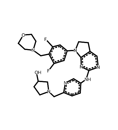 OC1CCN(Cc2ccc(Nc3ncc4c(n3)N(c3cc(F)c(CN5CCOCC5)c(F)c3)CC4)cn2)C1